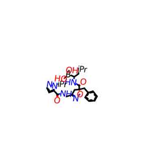 CC(C)CC(NC(=O)C1(Cc2ccccc2)CC(CNC(=O)c2ccnn2C(C)C)=NO1)B(O)O